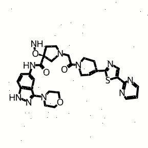 NO[C@@]1(C(=O)Nc2ccc3[nH]nc(N4CCOCC4)c3c2)CCN(CC(=O)N2CC=C(c3ncc(-c4ncccn4)s3)CC2)C1